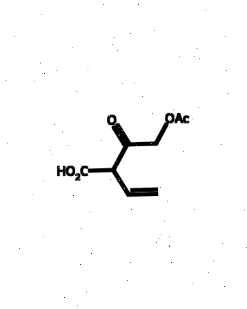 C=CC(C(=O)O)C(=O)COC(C)=O